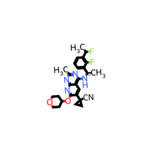 Cc1nc(N[C@H](C)c2cccc(C(C)F)c2F)c2cc(C3(C#N)CC3)c(OC3CCOCC3)nc2n1